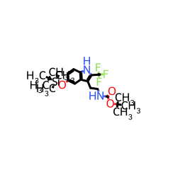 CC(C)(C)OC(=O)NCCc1c(C(F)(F)F)[nH]c2ccc(O[Si](C)(C)C(C)(C)C)cc12